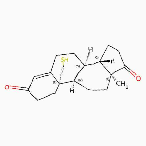 C[C@]12CC[C@@H]3[C@@H](CCC4=CC(=O)CC[C@@]43CS)[C@@H]1CCC2=O